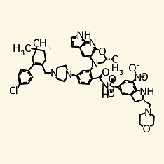 C[C@@H]1CN(c2cc(N3CCN(CC4=C(c5ccc(Cl)cc5)CC(C)(C)CC4)CC3)ccc2C(=O)NS(=O)(=O)c2cc3c(c([N+](=O)[O-])c2)N[C@@H](CN2CCOCC2)C3)c2cc3cc[nH]c3nc2O1